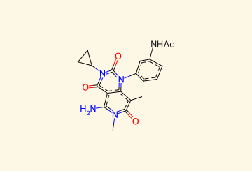 CC(=O)Nc1cccc(-n2c(=O)n(C3CC3)c(=O)c3c(N)n(C)c(=O)c(C)c32)c1